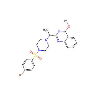 CC(C)Oc1nc(C(C)N2CCN(S(=O)(=O)c3ccc(Br)cc3)CC2)nc2ccccc12